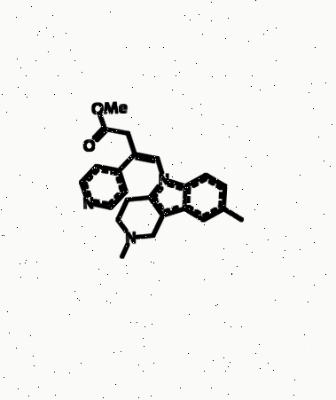 COC(=O)C/C(=C/n1c2c(c3cc(C)ccc31)CN(C)CC2)c1ccncc1